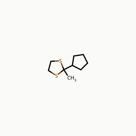 CC1(C2CCCC2)SCCS1